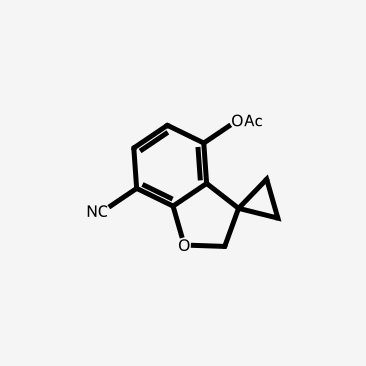 CC(=O)Oc1ccc(C#N)c2c1C1(CC1)CO2